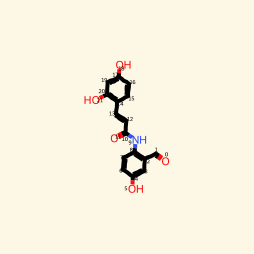 O=Cc1cc(O)ccc1NC(=O)/C=C/c1ccc(O)cc1O